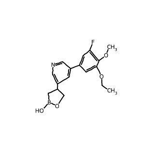 CCOc1cc(-c2cncc(C3COB(O)C3)c2)cc(F)c1OC